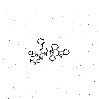 C=N/C(=C\C=C/C)c1cc(-c2ccccc2)cc(N2c3ccccc3-c3sc4ccccc4c3-c3ccccc32)n1